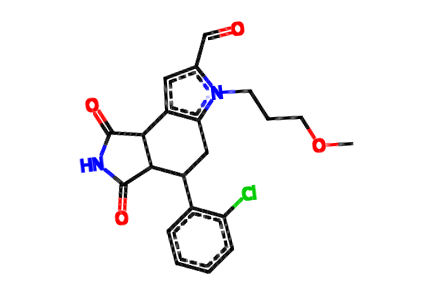 COCCCn1c(C=O)cc2c1CC(c1ccccc1Cl)C1C(=O)NC(=O)C21